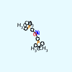 CC1(C)c2ccccc2P(c2ccc(-c3nnc(-c4ccc(P5c6ccccc6C(C)(C)c6ccccc65)cc4)o3)cc2)c2ccccc21